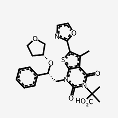 Cc1c(-c2ncco2)sc2c1c(=O)n(C(C)(C)C(=O)O)c(=O)n2C[C@@H](O[C@@H]1CCOC1)c1ccccc1